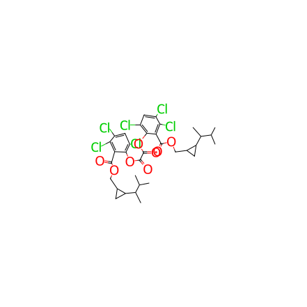 CC(C)C(C)C1CC1COC(=O)c1c(Cl)c(Cl)cc(Cl)c1OC(=O)C(=O)Oc1c(Cl)cc(Cl)c(Cl)c1C(=O)OCC1CC1C(C)C(C)C